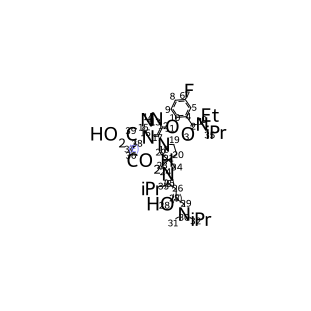 CCN(C(=O)c1cc(F)ccc1Oc1nncnc1N1CCC2(C1)CN([C@@H](C[C@H](O)CN(C)C(C)C)C(C)C)C2)C(C)C.O=C(O)/C=C/C(=O)O